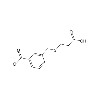 O=C(O)CCSCc1cccc(C(=O)Cl)c1